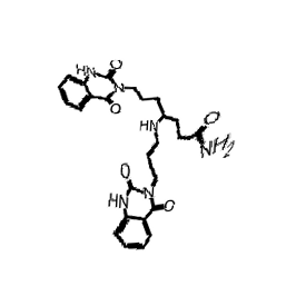 NC(=O)CCC(CCCn1c(=O)[nH]c2ccccc2c1=O)NCCCn1c(=O)[nH]c2ccccc2c1=O